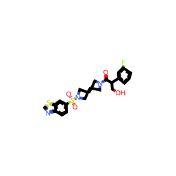 O=C(C(CO)c1cccc(F)c1)N1CC(=C2CN(S(=O)(=O)c3ccc4ncsc4c3)C2)C1